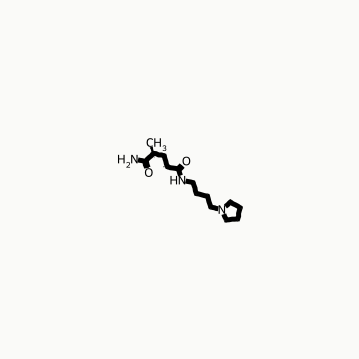 C[C@@H](C[CH]C(=O)NCCCCN1CCCC1)C(N)=O